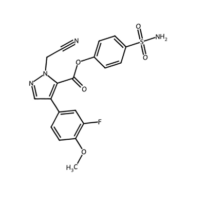 COc1ccc(-c2cnn(CC#N)c2C(=O)Oc2ccc(S(N)(=O)=O)cc2)cc1F